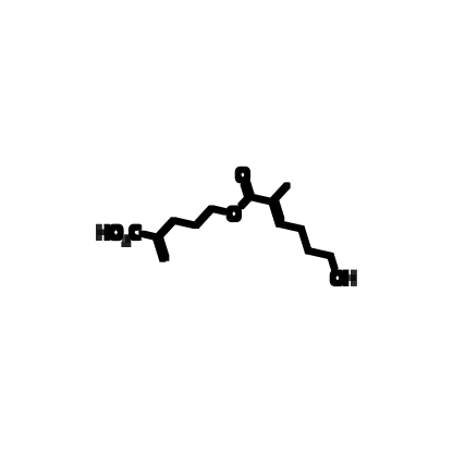 C=C(CCCOC(=O)C(C)=CCCCO)C(=O)O